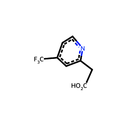 O=C(O)Cc1cc(C(F)(F)F)ccn1